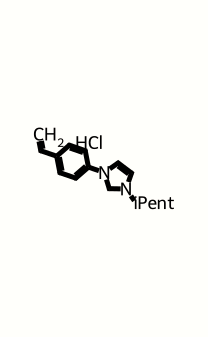 C=Cc1ccc(N2C=CN(C(C)CCC)C2)cc1.Cl